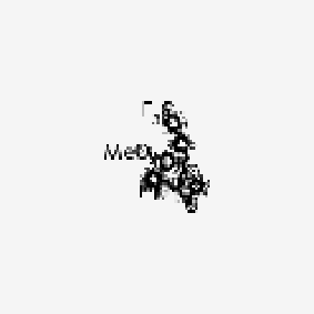 COCCN1CCC(N(Cc2ccc(-c3ccc(C(F)(F)F)cc3)cc2)C(=O)Cn2c(CCc3cccc(F)c3F)cc(=O)c3c2CCC3)CC1